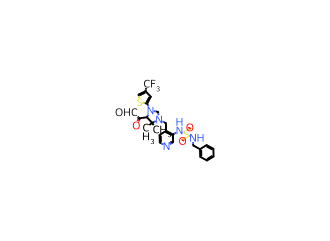 CC1(C)C(C(=O)C=O)N(c2cc(C(F)(F)F)cs2)CN1Cc1ccncc1NS(=O)(=O)NCc1ccccc1